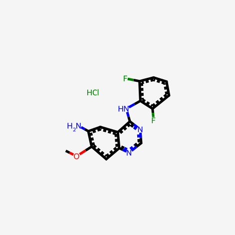 COc1cc2ncnc(Nc3c(F)cccc3F)c2cc1N.Cl